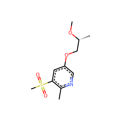 CO[C@H](C)COc1cnc(C)c(S(C)(=O)=O)c1